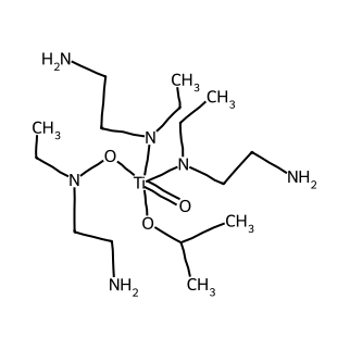 CCN(CCN)[O][Ti](=[O])([O]C(C)C)([N](CC)CCN)[N](CC)CCN